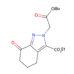 CCOC(=O)c1c2c(nn1CC(=O)OCC(C)C)C(=O)CCC2